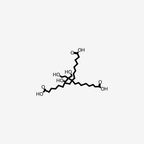 O=C(O)CCCCCCCC(CCCCCCCC(=O)O)(CCCCCCCC(=O)O)C(CO)(CO)CCO